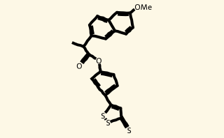 COc1ccc2cc(C(C)C(=O)Oc3ccc(-c4cc(=S)ss4)cc3)ccc2c1